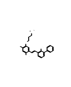 C[S+]([O-])CCCOc1cc(/C=C/c2cccc(-c3ccccc3)c2C#N)c(C=O)cc1Cl